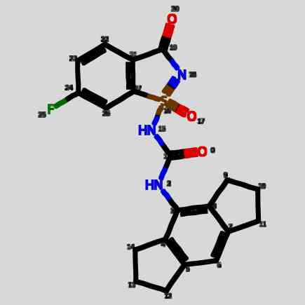 O=C(Nc1c2c(cc3c1CCC3)CCC2)NS1(=O)=NC(=O)c2ccc(F)cc21